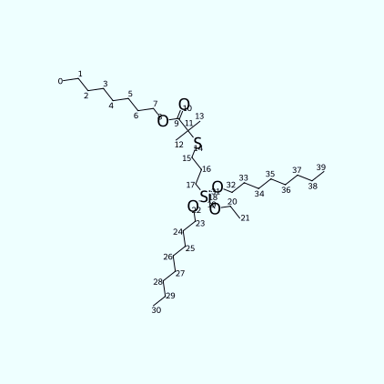 CCCCCCCCOC(=O)C(C)(C)SCCC[Si](OCC)(OCCCCCCCC)OCCCCCCCC